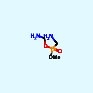 COP(=O)(CN)OCN